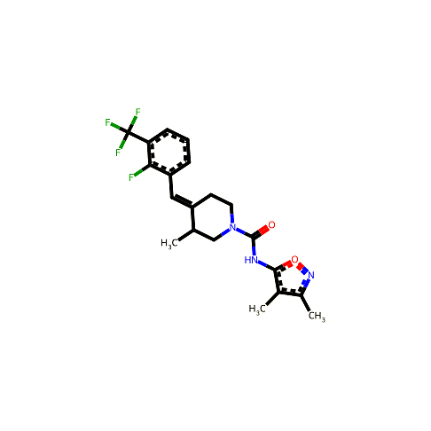 Cc1noc(NC(=O)N2CCC(=Cc3cccc(C(F)(F)F)c3F)C(C)C2)c1C